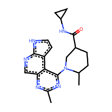 Cc1nc(N2CC(C(=O)NC3CC3)CCC2C)c2c(cnc3[nH]ccc32)n1